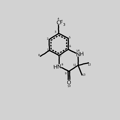 Cc1cc(C(F)(F)F)cc2c1NC(=O)C(C)(C)N2